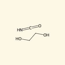 N=C=O.OCCO